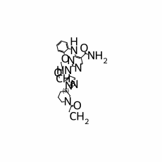 C=CC(=O)N1CCC[C@H](n2cc(Nc3ncc(C(N)=O)c(Nc4ccccc4OCCOC)n3)cn2)C1